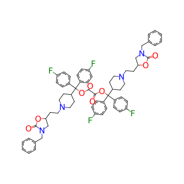 O=C(OC(c1ccc(F)cc1)(c1ccc(F)cc1)C1CCN(CCC2CN(Cc3ccccc3)C(=O)O2)CC1)C(=O)OC(c1ccc(F)cc1)(c1ccc(F)cc1)C1CCN(CCC2CN(Cc3ccccc3)C(=O)O2)CC1